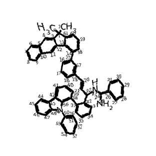 CC1(C)c2cc3ccccc3cc2-c2c(-c3cccc(/C=C/C(NC(N)c4ccccc4)c4ccccc4-c4cccc5c6ccccc6n(-c6ccccc6)c45)c3)cccc21